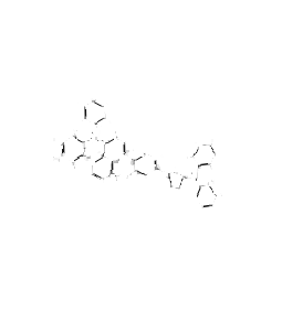 c1ccc(N(c2ccccc2)c2ccc(-c3ccc4c(c3)Oc3cccc5c(N(c6ccccc6)c6ccccc6)ccc-4c35)s2)cc1